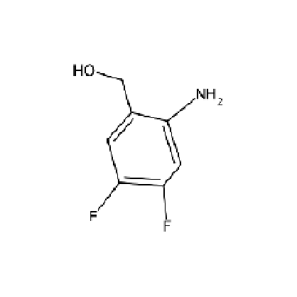 Nc1cc(F)c(F)cc1CO